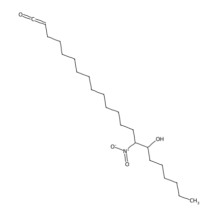 CCCCCCC(O)C(CCCCCCCCCCCCC=C=O)[N+](=O)[O-]